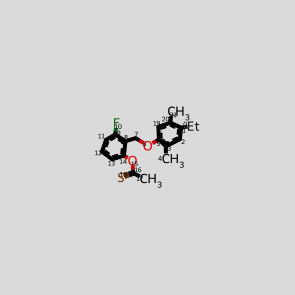 CCc1cc(C)c(OCc2c(F)cccc2OC(C)=S)cc1C